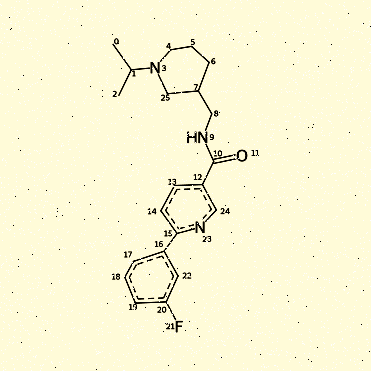 CC(C)N1CCCC(CNC(=O)c2ccc(-c3cccc(F)c3)nc2)C1